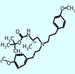 COc1ccc(CCCN(CCCc2ccc(OC)cc2)C[C@H](C)NC(=O)OC(C)(C)C)cc1